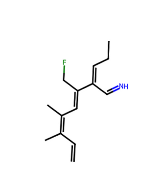 C=C\C(C)=C(C)/C=C(CF)/C(C=N)=C/CC